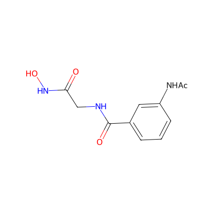 CC(=O)Nc1cccc(C(=O)NCC(=O)NO)c1